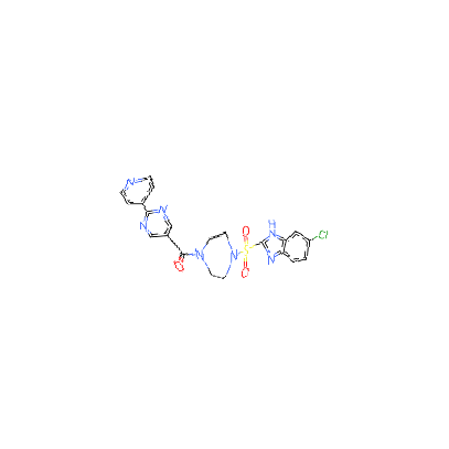 O=C(c1cnc(-c2ccncc2)nc1)N1CCN(S(=O)(=O)c2nc3ccc(Cl)cc3[nH]2)CC1